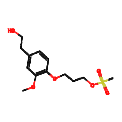 COc1cc(CCO)ccc1OCCCOS(C)(=O)=O